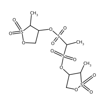 CC1C(OS(=O)(=O)C(C)S(=O)(=O)OC2COS(=O)(=O)C2C)COS1(=O)=O